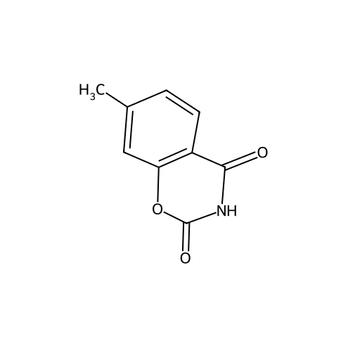 Cc1ccc2c(=O)[nH]c(=O)oc2c1